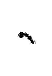 C[C@@H](NC1CC[C@@H](c2ccc(OCC(=O)O)cc2)C1)c1cccc2c(F)cccc12